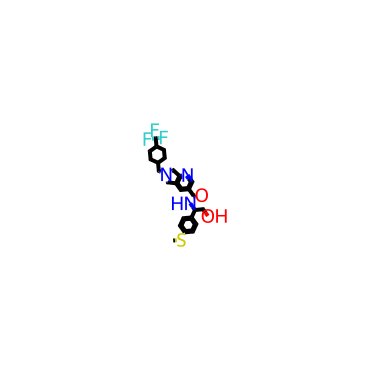 CSc1ccc(C(CO)NC(=O)c2cnc3c(c2)CN(CC2CCC(C(F)(F)F)CC2)C3)cc1